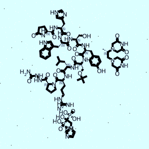 CC(C)C[C@H](NC(=O)[C@@H](COC(C)(C)C)NC(=O)[C@H](Cc1ccc(O)cc1)NC(=O)[C@H](CO)NC(=O)[C@H](Cc1c[nH]c2ccccc12)NC(=O)[C@H](Cc1c[nH]cn1)NC(=O)[C@@H]1CCC(=O)N1)C(=O)N[C@@H](CCCNC(=N)N)C(=O)N1CCC[C@H]1C(=O)NNC(N)=O.C[C@@H](CN1CC(=O)NC(=O)C1)N1CC(=O)NC(=O)C1.O=P(O)(O)C(O)(Cn1ccnc1)P(=O)(O)O